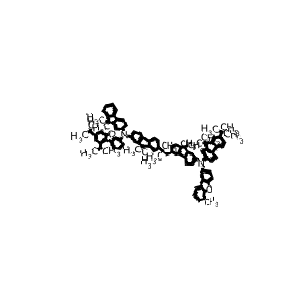 Cc1cccc2c1oc1ccc(N(c3ccc4c(c3)C(C)(C)c3ccc(CC(C)(C)c5ccc6c(c5)C(C)(C)c5cc(N(c7ccc8c(c7)C(C)(C)c7ccccc7-8)c7cccc8c7oc7cc(C(C)C)cc(C(C)C)c78)ccc5-6)cc3-4)c3ccc4c(c3)C(C)(C)c3cc(C(C)(C)C)ccc3-4)cc12